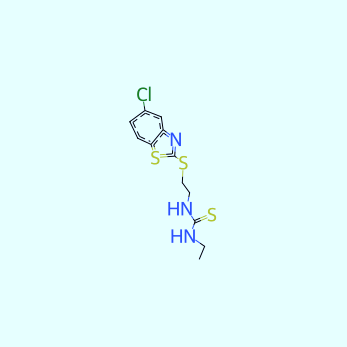 CCNC(=S)NCCSc1nc2cc(Cl)ccc2s1